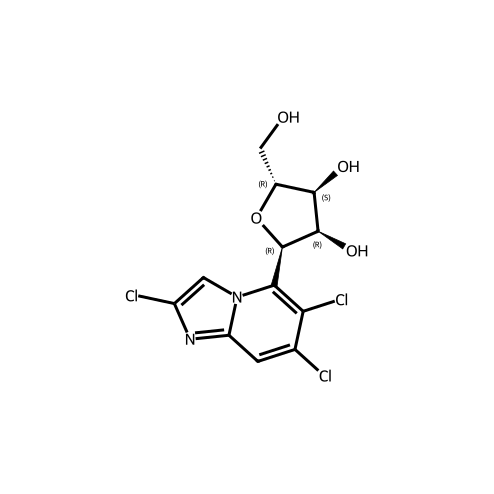 OC[C@H]1O[C@H](c2c(Cl)c(Cl)cc3nc(Cl)cn23)[C@H](O)[C@@H]1O